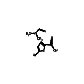 CN(C)C=O.O=C(O)c1ccc(Br)s1